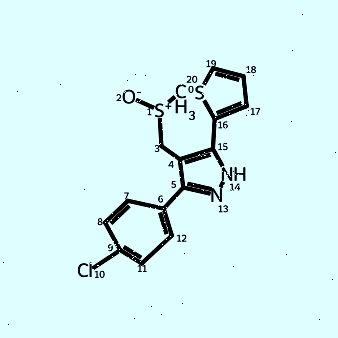 C[S+]([O-])Cc1c(-c2ccc(Cl)cc2)n[nH]c1-c1cccs1